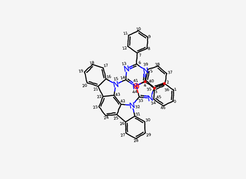 c1ccc(-c2nc(-c3ccccc3)nc(-n3c4ccccc4c4ccc5c6ccccc6n(-c6nc7ccccc7o6)c5c43)n2)cc1